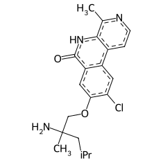 Cc1nccc2c1[nH]c(=O)c1cc(OCC(C)(N)CC(C)C)c(Cl)cc12